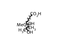 CO[C@@H](/C=C/CCCCC(=O)O)C(O)[C@H](C)/C=C(/C)CO